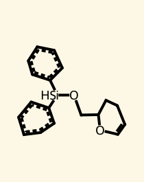 C1=COC(CO[SiH](c2ccccc2)c2ccccc2)CC1